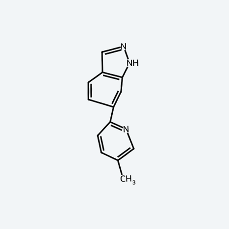 Cc1ccc(-c2ccc3cn[nH]c3c2)nc1